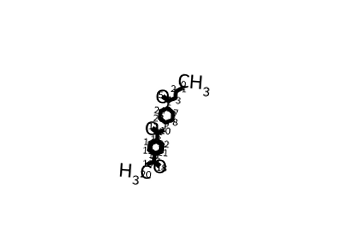 CCCCC(=O)[C@H]1CC[C@H](CC(=O)c2ccc(C(=O)CC)cc2)CC1